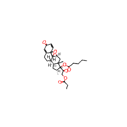 CCCCC(=O)O[C@@]1(C(=O)COC(=O)CC)[C@H](C)C[C@H]2[C@@H]3CCC4=CC(=O)C=C[C@]4(C)[C@@]34O[C@H]4C[C@@]21C